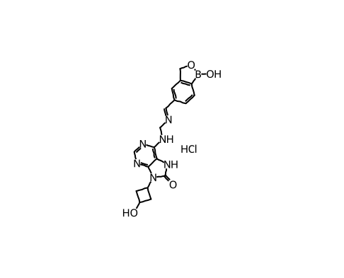 Cl.O=c1[nH]c2c(NC/N=C/c3ccc4c(c3)COB4O)ncnc2n1C1CC(O)C1